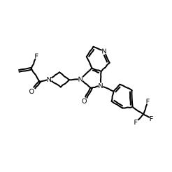 C=C(F)C(=O)N1CC(n2c(=O)n(-c3ccc(C(F)(F)F)cc3)c3cnccc32)C1